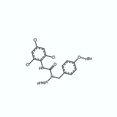 CCCCCCCN(Cc1ccc(OCCCC)cc1)C(=O)Nc1c(Cl)cc(Cl)cc1Cl